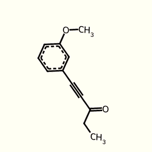 CCC(=O)C#Cc1cccc(OC)c1